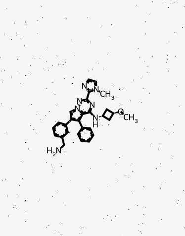 CO[C@H]1C[C@H](Nc2nc(-c3nccn3C)nn3cc(-c4cccc(CN)c4)c(-c4ccccc4)c23)C1